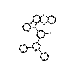 Cc1cc(-c2cc(-c3ccccc3)nc(-c3ccccc3)n2)cc(-n2c3ccccc3c3ccc4c(c32)Oc2ccccc2O4)c1